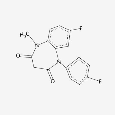 CN1C(=O)CC(=O)N(c2ccc(F)cc2)c2cc(F)ccc21